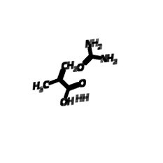 C=C(C)C(=O)O.NC(N)=O.[HH]